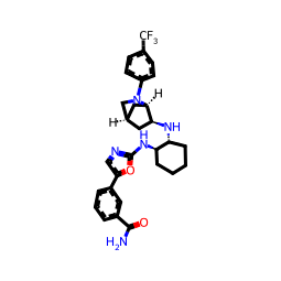 NC(=O)c1cccc(-c2cnc(N[C@@H]3CCCC[C@H]3N[C@H]3C[C@@H]4C[C@H]3N(c3ccc(C(F)(F)F)cc3)C4)o2)c1